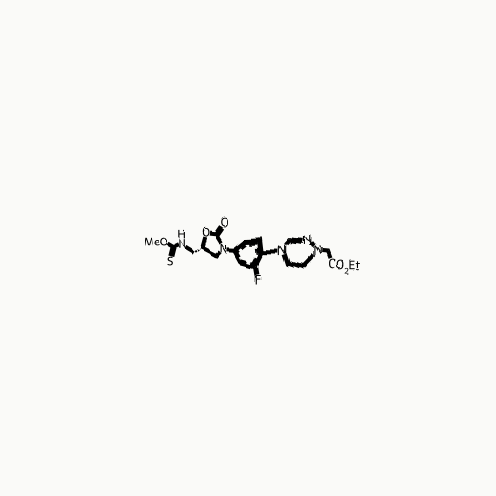 CCOC(=O)CN1CCN(c2ccc(N3C[C@H](CNC(=S)OC)OC3=O)cc2F)C=N1